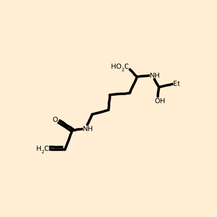 C=CC(=O)NCCCCC(NC(O)CC)C(=O)O